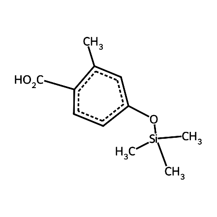 Cc1cc(O[Si](C)(C)C)ccc1C(=O)O